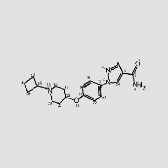 NC(=O)c1cnn(-c2ccc(OC3CCN(C4CCC4)CC3)cc2)c1